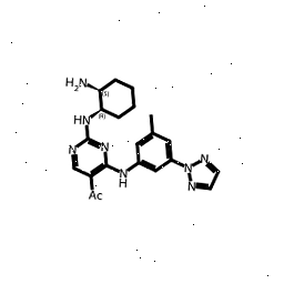 CC(=O)c1cnc(N[C@@H]2CCCC[C@@H]2N)nc1Nc1cc(C)cc(-n2nccn2)c1